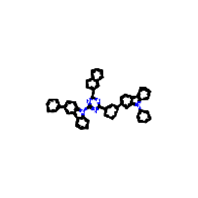 c1ccc(-c2ccc3c(c2)c2ccccc2n3-c2nc(-c3cccc(-c4ccc5c6ccccc6n(-c6ccccc6)c5c4)c3)nc(-c3ccc4ccccc4c3)n2)cc1